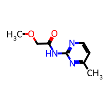 COCC(=O)Nc1nccc(C)n1